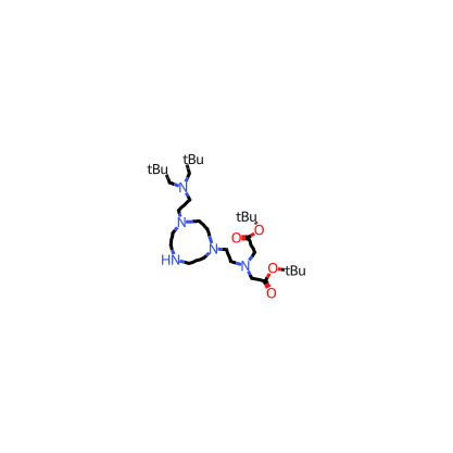 CC(C)(C)CN(CCN1CCNCCN(CCN(CC(=O)OC(C)(C)C)CC(=O)OC(C)(C)C)CC1)CC(C)(C)C